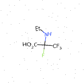 CCNC(F)(C(=O)O)C(F)(F)F